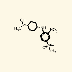 CN(C)[C@H]1CC[C@H](Nc2ccc(S(N)(=O)=O)cc2[N+](=O)[O-])CC1